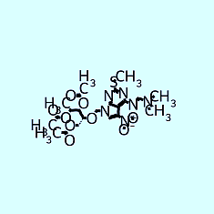 CSc1nc(/N=C/N(C)C)c2c([N+](=O)[O-])cn(CO[C@H](COC(C)=O)[C@@H](OC(C)=O)[C@H](C)OC(C)=O)c2n1